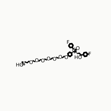 C[Si](C)(O)CCCOCCOCCOCCOCCOCCOCCOc1ccc([C@@H]2[C@@H](CC[C@H](O)c3ccc(F)cc3)C(=O)N2c2ccc(F)cc2)cc1